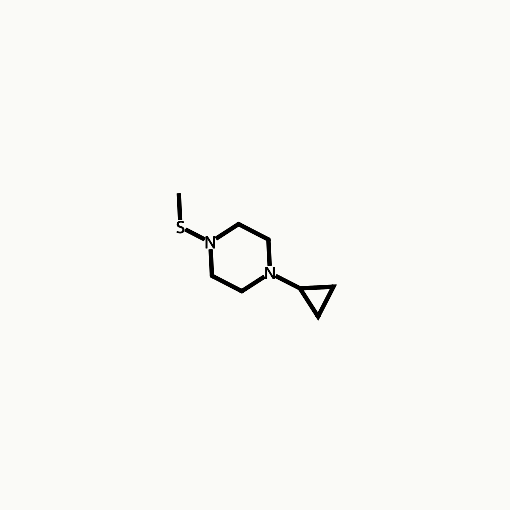 CSN1CCN(C2CC2)CC1